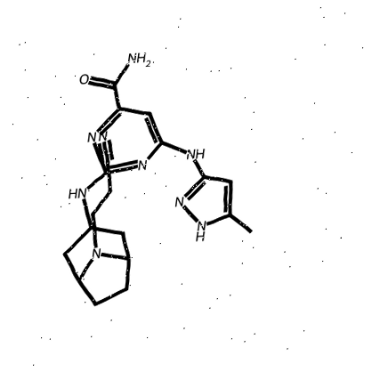 Cc1cc(Nc2cc(C(N)=O)nc(NC3CC4CCC(C3)N4CCC#N)n2)n[nH]1